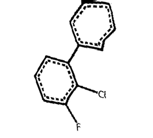 Fc1cccc(-c2cc[c]cc2)c1Cl